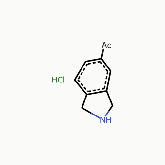 CC(=O)c1ccc2c(c1)CNC2.Cl